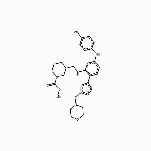 [C-]#[N+]c1cnc(Nc2cc(NCC3CCCN(C(=O)OC(C)(C)C)C3)c(-n3ccc(CN4CCOCC4)c3)cn2)cn1